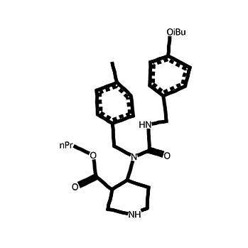 CCCOC(=O)C1CNCCC1N(Cc1ccc(C)cc1)C(=O)NCc1ccc(OCC(C)C)cc1